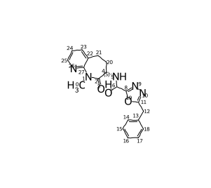 CN1C(=O)[C@@H](NC(O)c2nnc(Cc3ccccc3)o2)CCc2cccnc21